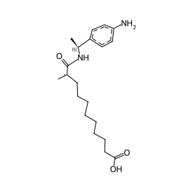 C[C](CCCCCCCCC(=O)O)C(=O)N[C@@H](C)c1ccc(N)cc1